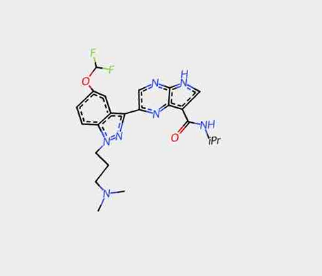 CC(C)NC(=O)c1c[nH]c2ncc(-c3nn(CCCN(C)C)c4ccc(OC(F)F)cc34)nc12